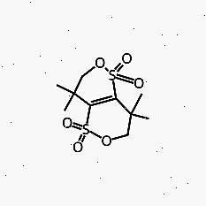 CC1(C)COS(=O)(=O)C2=C1S(=O)(=O)OCC2(C)C